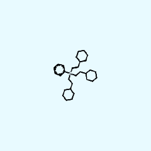 c1ccc([Si](CCC2CCCCC2)(CCC2CCCCC2)CCC2CCCCC2)cc1